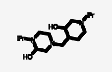 CC(C)N1CCC(CN2CCN(C(C)C)C(O)C2)C(O)C1